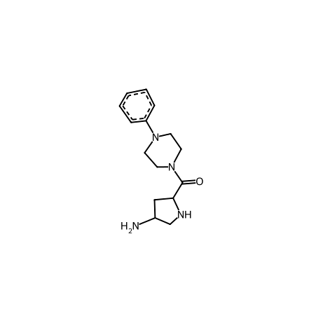 NC1CNC(C(=O)N2CCN(c3ccccc3)CC2)C1